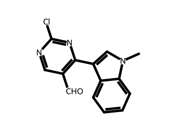 Cn1cc(-c2nc(Cl)ncc2C=O)c2ccccc21